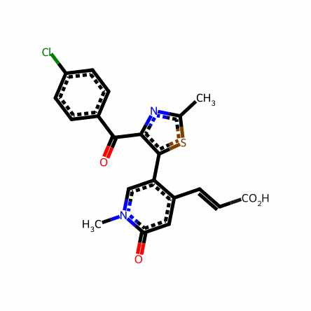 Cc1nc(C(=O)c2ccc(Cl)cc2)c(-c2cn(C)c(=O)cc2/C=C/C(=O)O)s1